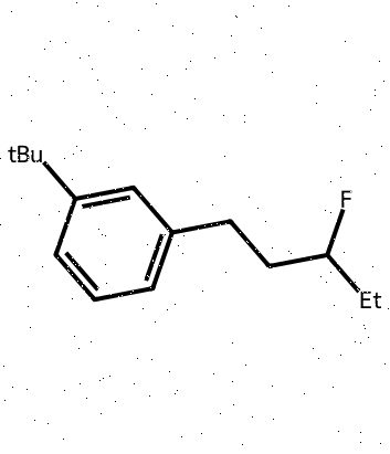 CCC(F)CCc1cccc(C(C)(C)C)c1